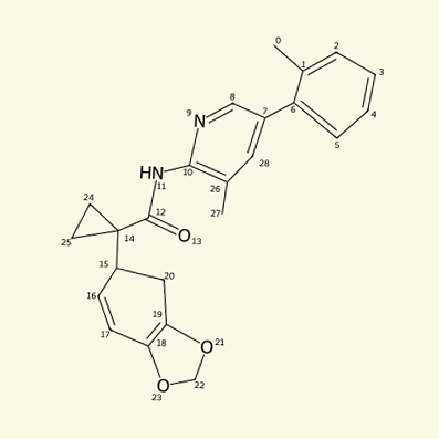 Cc1ccccc1-c1cnc(NC(=O)C2(C3C=CC4=C(C3)OCO4)CC2)c(C)c1